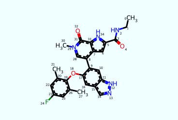 CCNC(=O)c1cc2c(-c3cc4[nH]ncc4cc3Oc3c(C)cc(F)cc3C)cn(C)c(=O)c2[nH]1